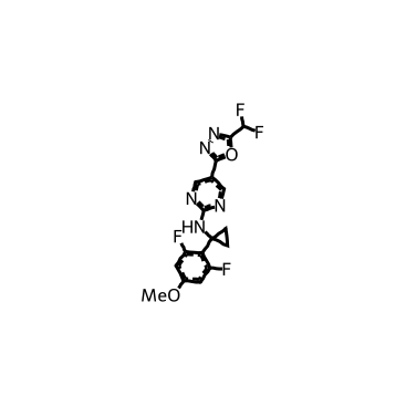 COc1cc(F)c(C2(Nc3ncc(-c4nnc(C(F)F)o4)cn3)CC2)c(F)c1